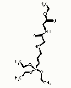 CCOC(=O)CNC(=S)CNCCC[Si](OCC)(OCC)OCC